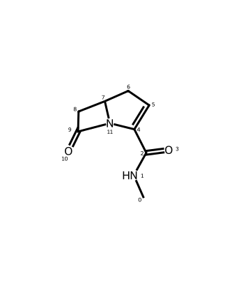 CNC(=O)C1=CCC2CC(=O)N12